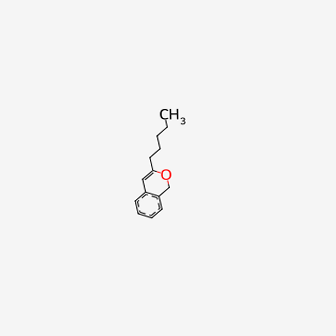 CCCCCC1=Cc2ccccc2CO1